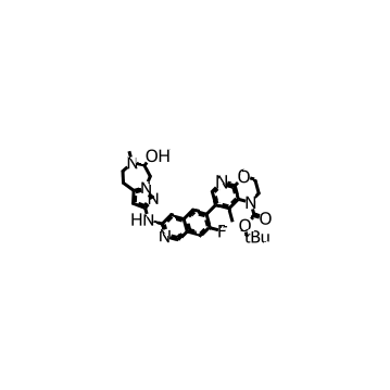 Cc1c(-c2cc3cc(Nc4cc5n(n4)CC(O)N(C)CC5)ncc3cc2F)cnc2c1N(C(=O)OC(C)(C)C)CCO2